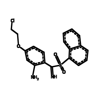 N=C(c1ccc(OCCCl)cc1N)S(=O)(=O)c1cccc2ccccc12